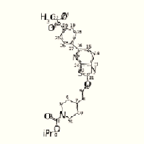 CC(C)OC(=O)N1CCC(CCOc2nc3ccc(-c4ccc(S(C)(=O)=O)cc4)nc3s2)CC1